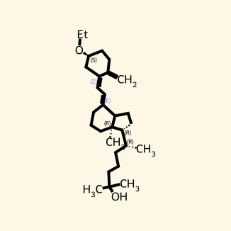 C=C1CC[C@H](OCC)C/C1=C/C=C1\CCC[C@@]2(C)C1CC[C@@H]2[C@H](C)CCCC(C)(C)O